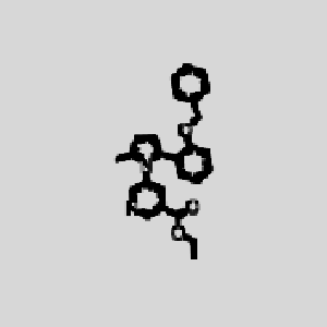 CCOC(=O)c1cncc(-n2c(C)ccc2-c2ccccc2OCc2ccccc2)c1